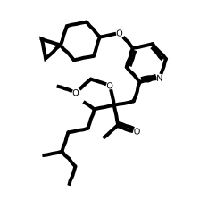 CCC(C)CCC(C)C(Cc1cc(OC2CCC3(CC2)CC3)ccn1)(OCOC)C(C)=O